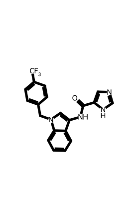 O=C(Nc1cn(Cc2ccc(C(F)(F)F)cc2)c2ccccc12)c1cnc[nH]1